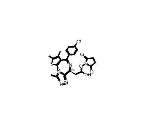 Cc1sc2c(c1C)C(c1ccc(Cl)cc1)=N[C@@H](CC(O)ON1C(=O)CCC1=O)c1nnc(C)n1-2